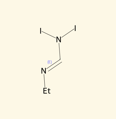 CC/N=C/N(I)I